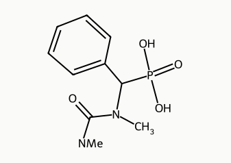 CNC(=O)N(C)C(c1ccccc1)P(=O)(O)O